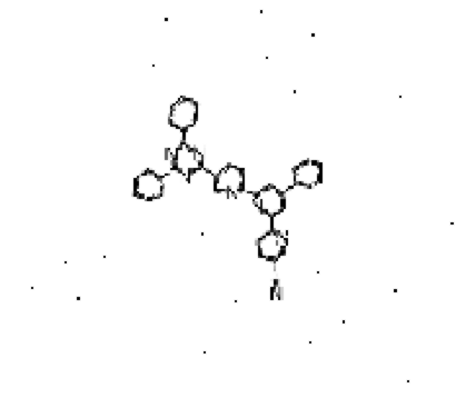 N#Cc1ccc(-c2cc(-c3ccccc3)cc(-c3ccc(-c4nc(-c5ccccc5)nc(-c5ccccc5)n4)cn3)n2)nc1